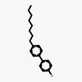 CCCCCCCCc1ccc(-c2ccc([O])cc2)cc1